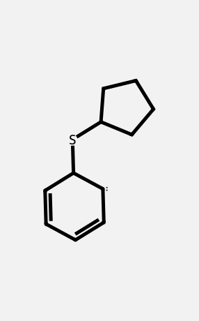 [C]1C=CC=CC1SC1CCCC1